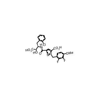 COc1ccc(Cn2nc(C(=O)N[C@H](Cc3ccccc3Cl)[C@@H](O)C(=O)O)cc2C(=O)O)c(F)c1F